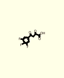 O=C(O)C(=O)CC(=O)c1cc(F)c(F)c(F)c1